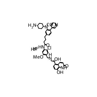 COc1cc(NC(=O)CCCc2ccc(-c3ccccc3)c(N(C(=O)O)[C@H]3CC[C@H](N)CC3)c2)c(Cl)cc1CNC[C@H](O)c1ccc(O)c2[nH]c(=O)ccc12.F.F